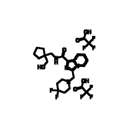 O=C(NCC1(CO)CCCC1)c1nc(CN2CCC(F)(F)CC2)n2ccccc12.O=C(O)C(F)(F)F.O=C(O)C(F)(F)F